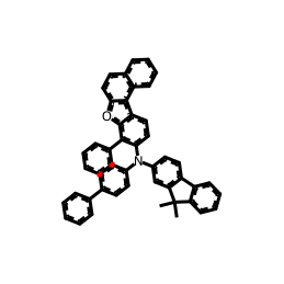 CC1(C)c2ccccc2-c2ccc(N(c3ccc(-c4ccccc4)cc3)c3ccc4c(oc5ccc6ccccc6c54)c3-c3ccccc3)cc21